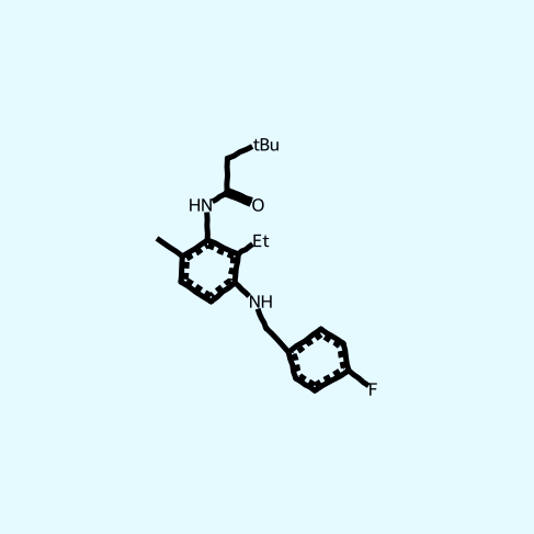 CCc1c(NCc2ccc(F)cc2)ccc(C)c1NC(=O)CC(C)(C)C